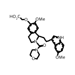 COc1ccc2[nH]cc(CCC3c4cc(OC)c(OCC(=O)O)cc4CCN3C(=O)N3CCOCC3)c2c1